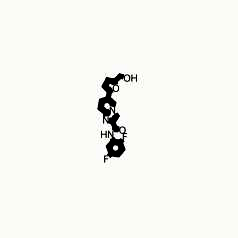 O=C(Nc1cc(F)ccc1F)c1cn2cc(-c3ccc(CO)o3)ccc2n1